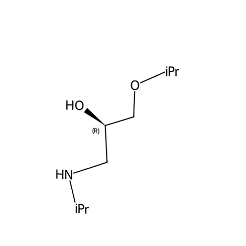 CC(C)NC[C@@H](O)COC(C)C